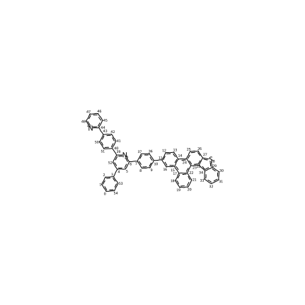 c1ccc(-c2cc(-c3ccc(-c4ccc5c(c4)c4ccccc4c4c5ccc5sc6ccccc6c54)cc3)nc(-c3ccc(-c4ccccn4)cc3)c2)cc1